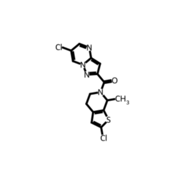 CC1c2sc(Cl)cc2CCN1C(=O)c1cc2ncc(Cl)cn2n1